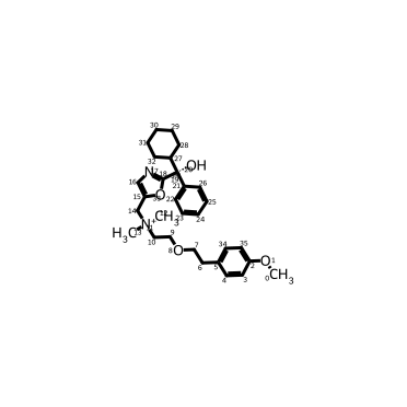 COc1ccc(CCOCC[N+](C)(C)Cc2cnc([C@](O)(c3ccccc3)C3CCCCC3)o2)cc1